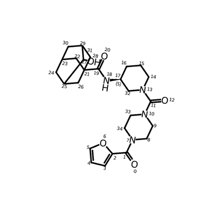 O=C(c1ccco1)N1CCN(C(=O)N2CCC[C@H](NC(=O)C34CC5CC(C3)C(O)C(C5)C4)C2)CC1